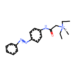 CC[N+](CC)(CC)CC(=O)Nc1ccc(/N=N/c2ccccc2)cc1